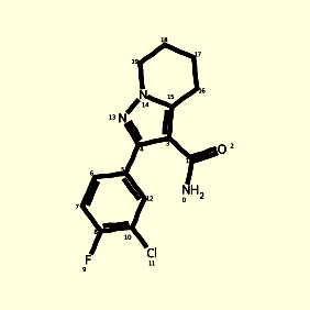 NC(=O)c1c(-c2ccc(F)c(Cl)c2)nn2c1CCCC2